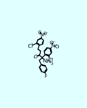 NC(Cc1ccc(F)cc1)(C(=O)CCc1ccc([N+](=O)[O-])cc1Cl)c1ccc([N+](=O)[O-])cc1Cl